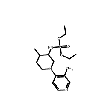 CCOP(=O)(NC1CN(c2ccncc2N)CCC1C)OCC